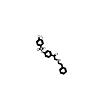 Cc1ccc(S(=O)(=O)Oc2ccc(C(=O)CNCCc3ccccc3)cc2)cc1